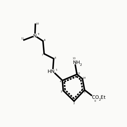 CCOC(=O)c1ccc(NCCCN(C)C)c(N)c1